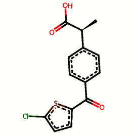 C[C@H](C(=O)O)c1ccc(C(=O)c2ccc(Cl)s2)cc1